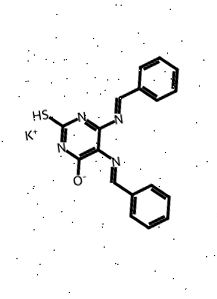 [K+].[O-]c1nc(S)nc(N=Cc2ccccc2)c1N=Cc1ccccc1